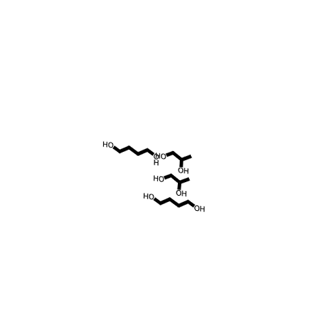 CC(O)CO.CC(O)CO.OCCCCO.OCCCCO